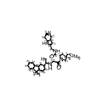 COC[C@@]1(F)C[C@@H](C(=O)NCc2cc3cnccc3[nH]2)N(C(=O)CNC(=N)c2ccc3c(c2)-c2ccccc2C3(F)I)C1